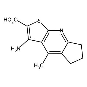 Cc1c2c(nc3sc(C(=O)O)c(N)c13)CCC2